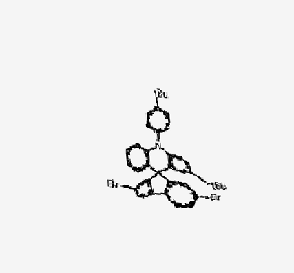 CC(C)(C)c1ccc(N2c3ccccc3C3(c4cc(Br)ccc4-c4ccc(Br)cc43)c3cc(C(C)(C)C)ccc32)cc1